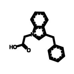 O=C(O)Cn1cc(Cc2ccccc2)c2ccccc21